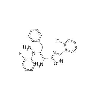 N/C(=C(/Cc1ccccc1)N(N)c1ccccc1F)c1nc(-c2ccccc2F)no1